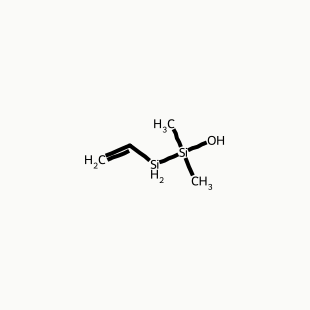 C=C[SiH2][Si](C)(C)O